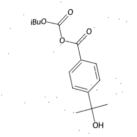 CC(C)COC(=O)OC(=O)c1ccc(C(C)(C)O)cc1